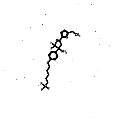 CCc1ccc(C(=O)CC(N)(c2ccc(OCCCCCC(F)(F)F)cc2)C(F)(F)F)s1